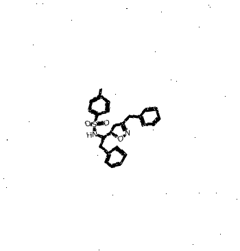 Cc1ccc(S(=O)(=O)NC(Cc2ccccc2)C2CC(Cc3ccccc3)=NO2)cc1